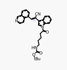 CC(C)(C)OC(=O)NCCCCC(=O)n1cc(/C(C#N)=C/c2cccc3cnccc23)c2ccccc21